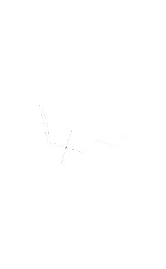 COCCC(C)(C)N=[N+]=[N-]